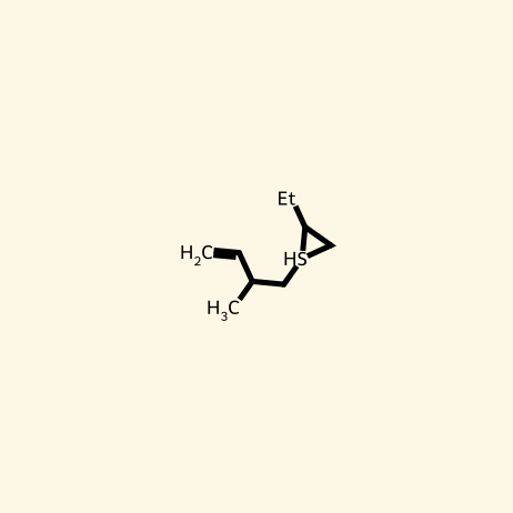 C=CC(C)C[SH]1CC1CC